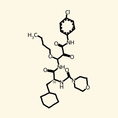 CCCCOC(NC(=O)[C@H](CC1CCCCC1)NC(=O)N1CCOCC1)C(=O)C(=O)Nc1ccc(Cl)cc1